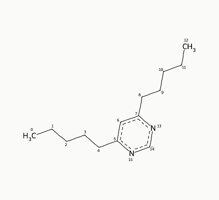 CCCCCc1cc(CCCCC)n[c]n1